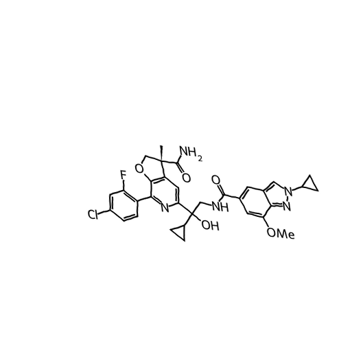 COc1cc(C(=O)NCC(O)(c2cc3c(c(-c4ccc(Cl)cc4F)n2)OC[C@]3(C)C(N)=O)C2CC2)cc2cn(C3CC3)nc12